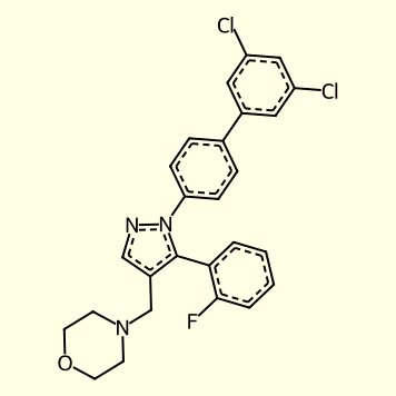 Fc1ccccc1-c1c(CN2CCOCC2)cnn1-c1ccc(-c2cc(Cl)cc(Cl)c2)cc1